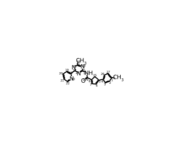 Cc1ccc(C2=CC=C(C(=O)Nc3nc(C)nc(-c4ccccn4)n3)C2)cc1